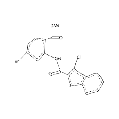 COC(=O)c1ccc(Br)cc1NC(=O)c1sc2ccccc2c1Cl